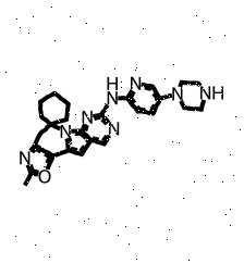 Cc1nc2c(o1)-c1cc3cnc(Nc4ccc(N5CCNCC5)cn4)nc3n1C1(CCCCC1)C2